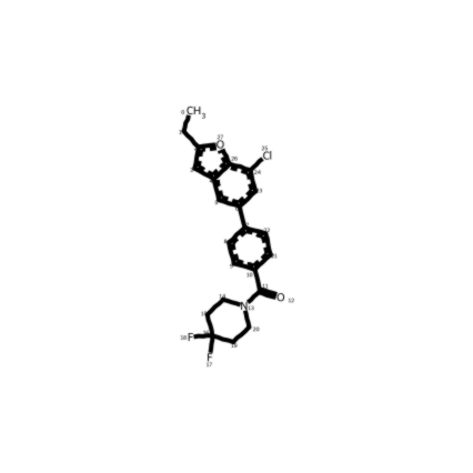 CCc1cc2cc(-c3ccc(C(=O)N4CCC(F)(F)CC4)cc3)cc(Cl)c2o1